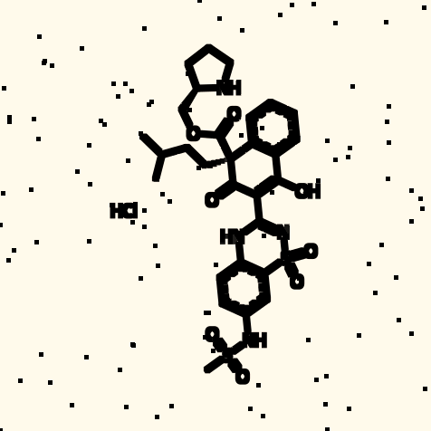 CC(C)CC[C@@]1(C(=O)OC[C@H]2CCCN2)C(=O)C(C2=NS(=O)(=O)c3cc(NS(C)(=O)=O)ccc3N2)=C(O)c2ccccc21.Cl